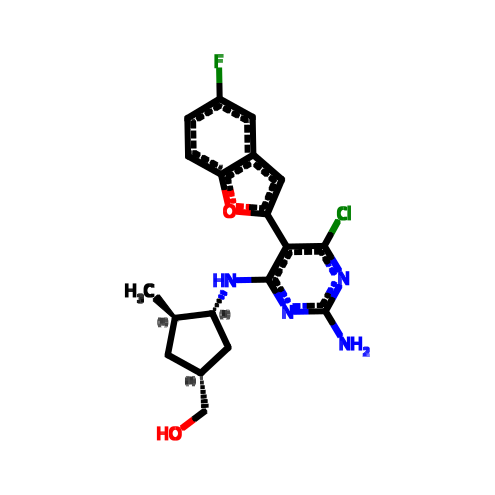 C[C@@H]1C[C@@H](CO)C[C@H]1Nc1nc(N)nc(Cl)c1-c1cc2cc(F)ccc2o1